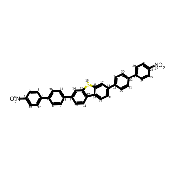 O=[N+]([O-])c1ccc(-c2ccc(-c3ccc4c(c3)sc3cc(-c5ccc(-c6ccc([N+](=O)[O-])cc6)cc5)ccc34)cc2)cc1